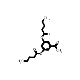 CCCCC(=O)Oc1cc(OC(=O)CCCC)cc(C(C)=O)c1